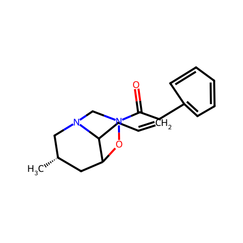 C=CCC1C2C[C@H](C)CN1CN(C(=O)Cc1ccccc1)O2